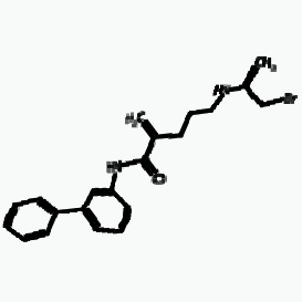 C=C(CBr)NCCCC(=C)C(=O)Nc1cccc(-c2ccccc2)c1